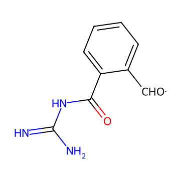 N=C(N)NC(=O)c1ccccc1[C]=O